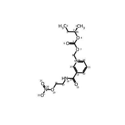 CC[C@@H](C)OC(=O)OC[n+]1cccc(C(=O)NCCO[N+](=O)[O-])c1